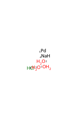 Cl.O.O.O.[NaH].[Pd]